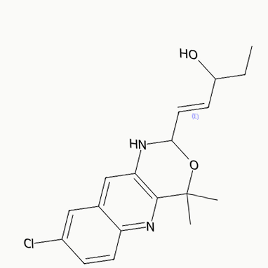 CCC(O)/C=C/C1Nc2cc3cc(Cl)ccc3nc2C(C)(C)O1